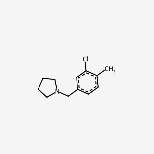 Cc1ccc(CN2CCCC2)cc1Cl